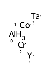 [AlH3].[Co].[Cr].[Ta].[Y]